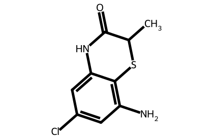 CC1Sc2c(N)cc(Cl)cc2NC1=O